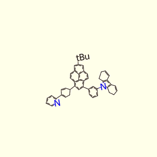 CC(C)(C)c1cc2ccc3c(-c4cccc(-n5c6c(c7c5CCC=C7)C=CCC6)c4)cc(C4C=CC(c5ccccn5)=CC4)c4ccc(c1)c2c34